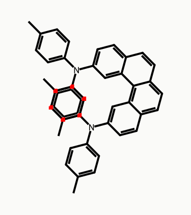 Cc1ccc(N(c2ccc(C)cc2)c2ccc3ccc4ccc5ccc(N(c6ccc(C)cc6)c6ccc(C)cc6)cc5c4c3c2)cc1